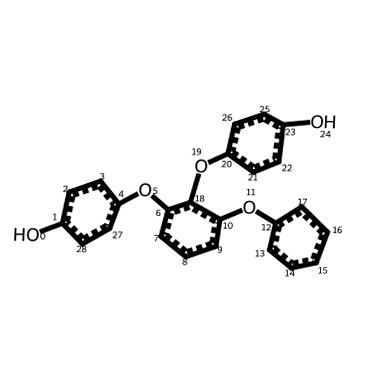 Oc1ccc(Oc2cccc(Oc3ccccc3)c2Oc2ccc(O)cc2)cc1